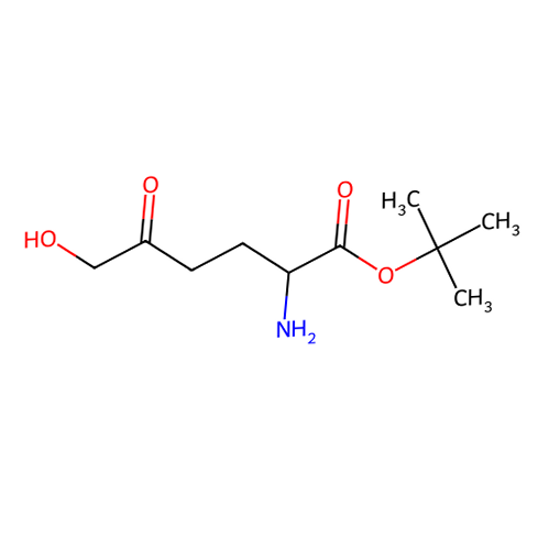 CC(C)(C)OC(=O)C(N)CCC(=O)CO